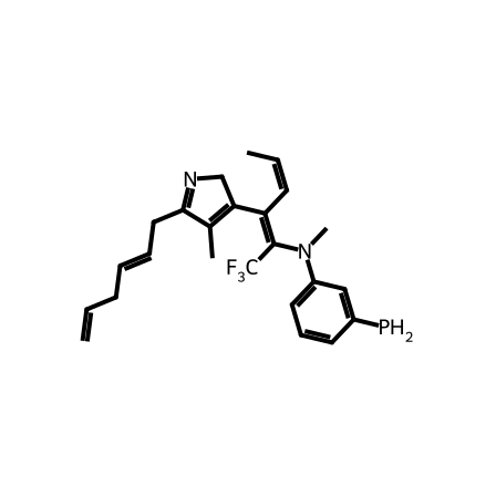 C=CCC=CCC1=NCC(C(/C=C\C)=C(/N(C)c2cccc(P)c2)C(F)(F)F)=C1C